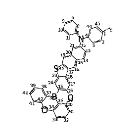 Cc1ccc(N(c2ccccc2)c2ccc3cc4c(cc3c2)sc2cc3c(cc24)Oc2cccc4c2B3c2ccccc2O4)cc1